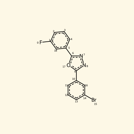 Fc1cccc(-c2nnc(-c3cccc(Br)c3)o2)c1